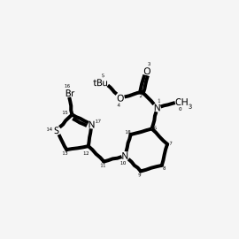 CN(C(=O)OC(C)(C)C)C1CCCN(CC2CSC(Br)=N2)C1